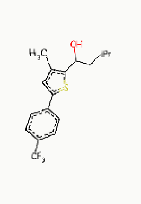 Cc1cc(-c2ccc(C(F)(F)F)cc2)sc1C(O)CC(C)C